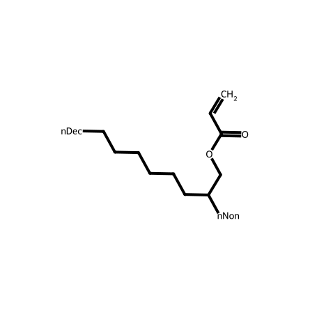 C=CC(=O)OCC(CCCCCCCCC)CCCCCCCCCCCCCCCC